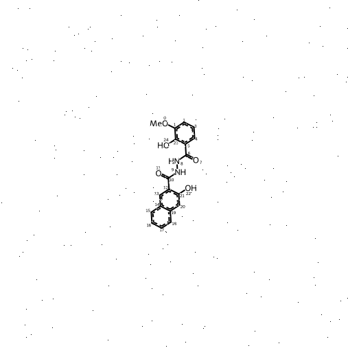 COc1cccc(C(=O)NNC(=O)c2cc3ccccc3cc2O)c1O